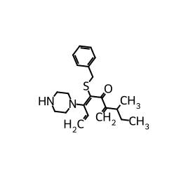 C=C/C(=C(/SCc1ccccc1)C(=O)C(=C)C(C)CC)N1CCNCC1